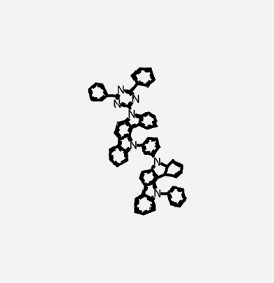 C1=CC2c3c(ccc4c5ccccc5n(-c5ccccc5)c34)N(c3cccc(-n4c5ccccc5c5ccc6c(c7ccccc7n6-c6nc(-c7ccccc7)nc(-c7ccccc7)n6)c54)c3)C2C=C1